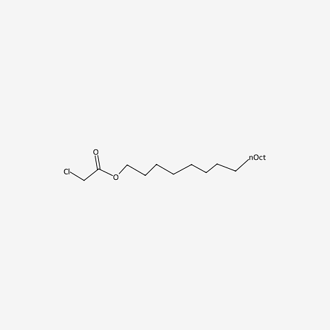 CCCCCCCCCCCCCCCCOC(=O)CCl